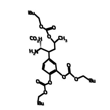 CCC(C)COC(=O)Oc1ccc(C(CC(C)OC(=O)OCC(C)CC)[C@H](N)C(=O)O)cc1OC(=O)OCC(C)CC